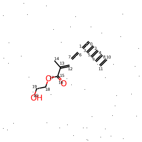 C=C.C=C.C=C.C=C.C=C.C=C.C=C(C)C(=O)OCCO